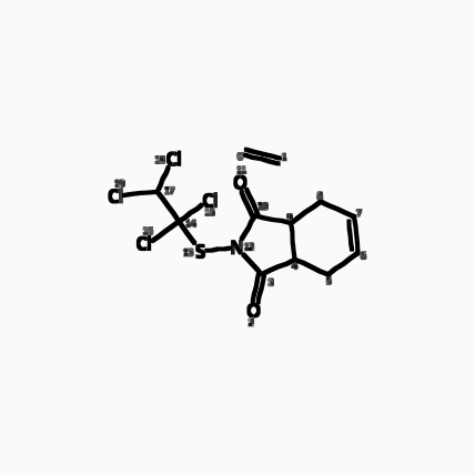 C=C.O=C1C2CC=CCC2C(=O)N1SC(Cl)(Cl)C(Cl)Cl